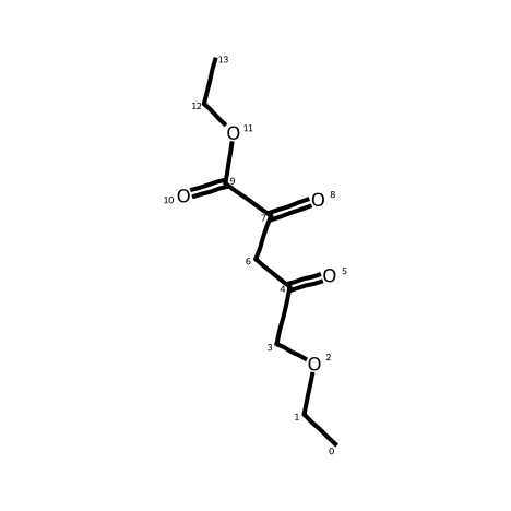 CCOCC(=O)CC(=O)C(=O)OCC